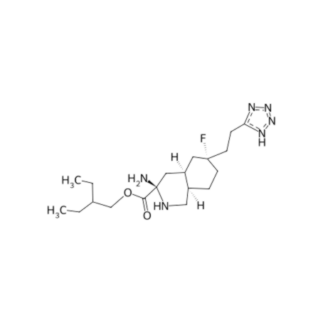 CCC(CC)COC(=O)[C@]1(N)C[C@H]2C[C@@](F)(CCc3nnn[nH]3)CC[C@H]2CN1